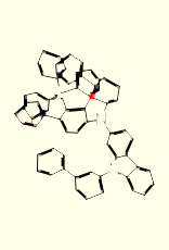 c1ccc(-c2cccc(-n3c4ccccc4c4ccc(-n5c6cccc(-c7ccccc7)c6c6c([Si](c7ccccc7)(c7ccccc7)c7ccccc7)c(-c7ccccc7)ccc65)cc43)c2)cc1